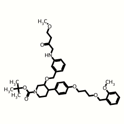 COCCC(=O)CNc1cccc(COC2CN(C(=O)OC(C)(C)C)CCC2c2ccc(OCCCOCc3ccccc3OC)cc2)c1